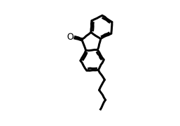 CCCCc1ccc2c(c1)-c1ccccc1C2=O